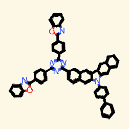 c1ccc(-c2ccc(-n3c4cc5ccccc5cc4c4cc5cc(-c6nc(-c7ccc(-c8nc9ccccc9o8)cc7)nc(-c7ccc(-c8nc9ccccc9o8)cc7)n6)ccc5cc43)cc2)cc1